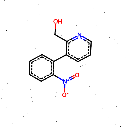 O=[N+]([O-])c1ccccc1-c1cccnc1CO